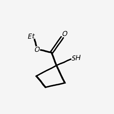 CCOC(=O)C1(S)CCC1